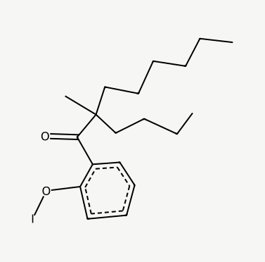 CCCCCCC(C)(CCCC)C(=O)c1ccccc1OI